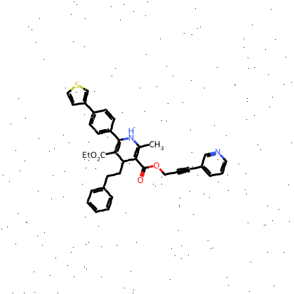 CCOC(=O)C1=C(c2ccc(-c3ccsc3)cc2)NC(C)=C(C(=O)OCC#Cc2cccnc2)C1CCc1ccccc1